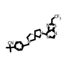 CC(C)(C#N)c1ccc(CN2CC[C@@]3(CCN(c4ncnc5sc(CC(F)(F)F)nc45)C3)C2)cc1